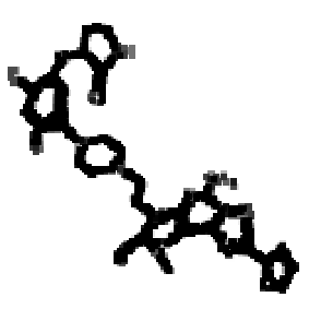 Cn1c(=O)n(CCN2CCN(c3cc(OC4CCNC4=O)c(F)cc3F)CC2)c2nc(N)n3nc(-c4ccco4)nc3c21